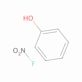 O=[N+]([O-])F.Oc1ccccc1